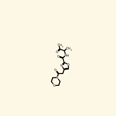 CC(=O)C(C)NC(=O)c1nc(CC(=O)N2CCOCC2)co1